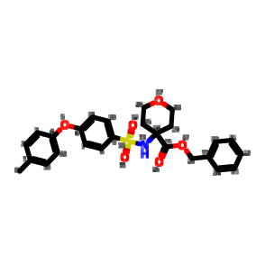 Cc1ccc(Oc2ccc(S(=O)(=O)NC3(C(=O)OCc4ccccc4)CCOCC3)cc2)cc1